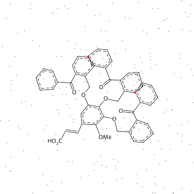 COc1c(C=CC(=O)O)cc(OCc2ccccc2C(=O)c2ccccc2)c(OCc2ccccc2C(=O)c2ccccc2)c1OCc1ccccc1C(=O)c1ccccc1